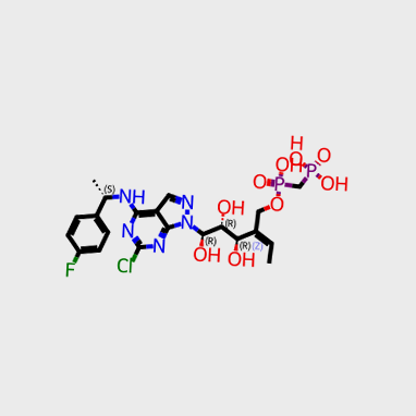 C/C=C(/COP(=O)(O)CP(=O)(O)O)[C@@H](O)[C@@H](O)[C@@H](O)n1ncc2c(N[C@@H](C)c3ccc(F)cc3)nc(Cl)nc21